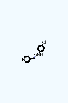 Clc1ccc(N/N=C/c2ccncc2)cc1